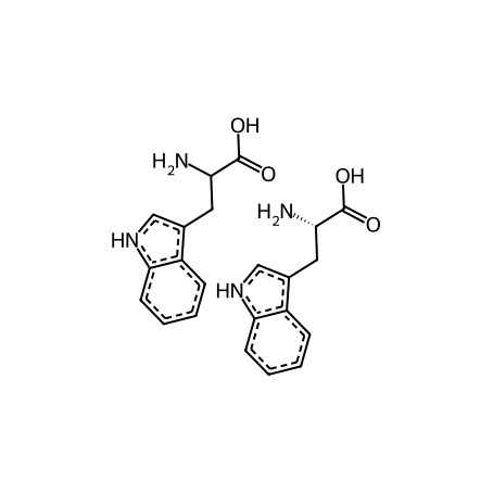 NC(Cc1c[nH]c2ccccc12)C(=O)O.N[C@@H](Cc1c[nH]c2ccccc12)C(=O)O